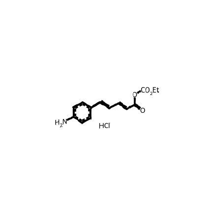 CCOC(=O)OC(=O)C=CC=Cc1ccc(N)cc1.Cl